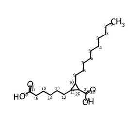 CCCCCCCCCCC1C(CCCCCC(=O)O)C1C(=O)O